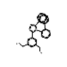 CC(C)Cc1cc(CC(C)C)cc(-c2nnc(-c3ccccc3)n2-c2ccccc2-c2ccccc2)c1